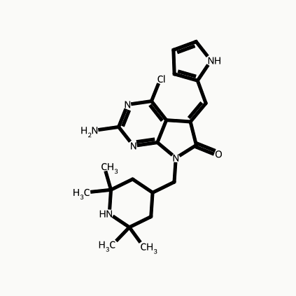 CC1(C)CC(CN2C(=O)/C(=C/c3ccc[nH]3)c3c(Cl)nc(N)nc32)CC(C)(C)N1